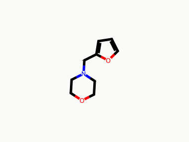 [CH](c1ccco1)N1CCOCC1